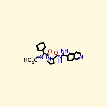 NC(NC(=O)C1CCCN1C(=O)C(NCC(=O)O)c1ccccc1)c1ccc2cnccc2c1